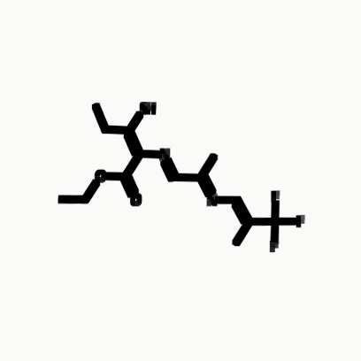 CCOC(=O)C(/N=C/C(C)=N/C=C(\C)C(F)(F)F)=C(/S)CC